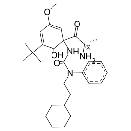 COC1=CC(NC(=O)N(CCC2CCCCC2)c2ccccc2)(C(=O)[C@H](C)N)C(O)C(C(C)(C)C)=C1